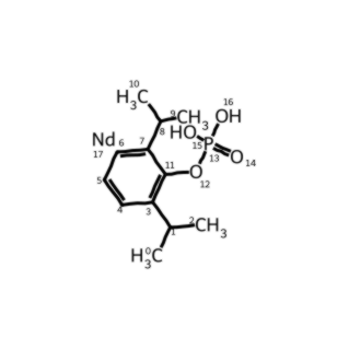 CC(C)c1cccc(C(C)C)c1OP(=O)(O)O.[Nd]